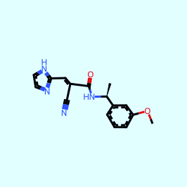 COc1cccc([C@H](C)NC(=O)/C(C#N)=C/c2ncc[nH]2)c1